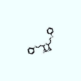 c1ccc(OCCC(OC(CCOc2ccccc2)C2CO2)C2CO2)cc1